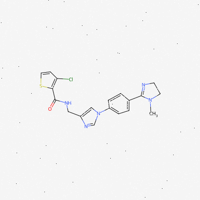 CN1CCN=C1c1ccc(-n2cnc(CNC(=O)c3sccc3Cl)c2)cc1